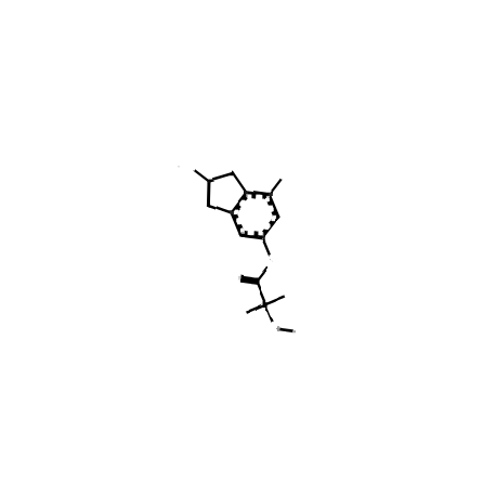 CC(C)(NC(=O)O)C(=O)Nc1cc(F)c2c(c1)CC(C=O)C2